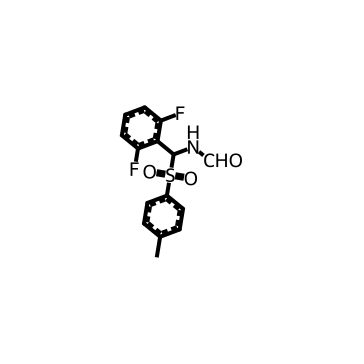 Cc1ccc(S(=O)(=O)C(NC=O)c2c(F)cccc2F)cc1